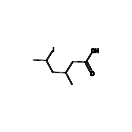 CC(I)CC(C)CC(=O)O